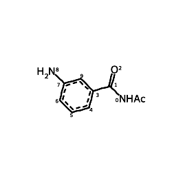 CC(=O)NC(=O)c1cccc(N)c1